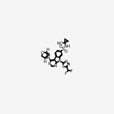 N#CC1(NS(=O)(=O)c2ccc3c4c(N5C[C@@H]6C[C@H]5CO6)ncnc4n(-c4nnc(C(F)F)s4)c3c2)CC1